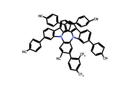 N#Cc1ccc(-c2ccc3c4ccc(-c5ccc(C#N)cc5)cc4n(-c4cc(C#N)c(-c5ccc(C(F)(F)F)cc5C(F)(F)F)cc4-n4c5cc(-c6ccc(C#N)cc6)ccc5c5ccc(-c6ccc(C#N)cc6)cc54)c3c2)cc1